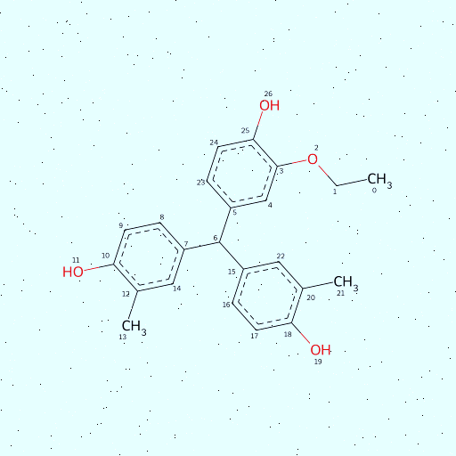 CCOc1cc(C(c2ccc(O)c(C)c2)c2ccc(O)c(C)c2)ccc1O